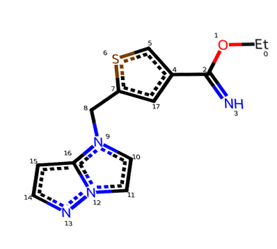 CCOC(=N)c1csc(Cn2ccn3nccc23)c1